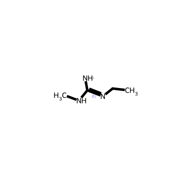 CC/N=C(\[NH])NC